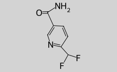 NC(=O)c1ccc(C(F)F)nc1